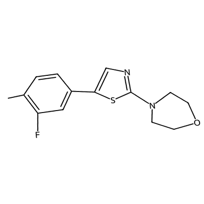 Cc1ccc(-c2cnc(N3CCOCC3)s2)cc1F